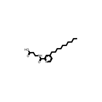 CCCCCCCCCCc1ccnc(C(=O)NCCC(=O)O)c1